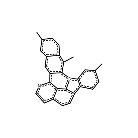 Cc1ccc2c(C)c3c(cc2c1)c1nccc2ccc4c5ccc(C)cc5n3c4c21